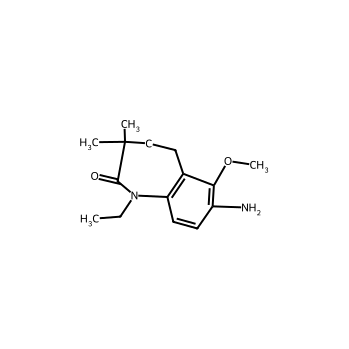 CCN1C(=O)C(C)(C)CCc2c1ccc(N)c2OC